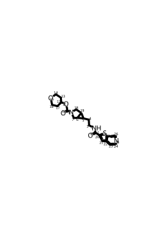 O=C(NCCC1C2CN(C(=O)OC3CCOCC3)CC12)c1cc2ccncc2s1